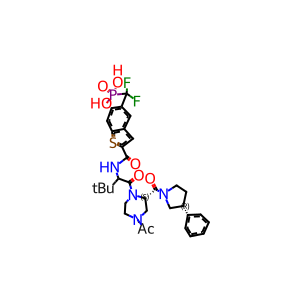 CC(=O)N1CCN(C(=O)C(NC(=O)c2cc3cc(C(F)(F)P(=O)(O)O)ccc3s2)C(C)(C)C)[C@H](C(=O)N2CC[C@H](c3ccccc3)C2)C1